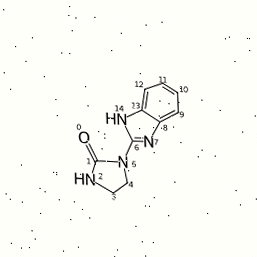 O=C1NCCN1c1nc2ccccc2[nH]1